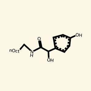 CCCCCCCCCNC(=O)C(O)c1ccc(O)cc1